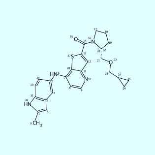 Cc1cc2cc(Nc3ccnc4cc(C(=O)N5CCC[C@@H]5COCC5CC5)sc34)ccc2[nH]1